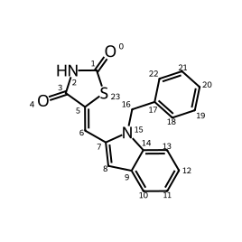 O=C1NC(=O)C(=Cc2cc3ccccc3n2Cc2ccccc2)S1